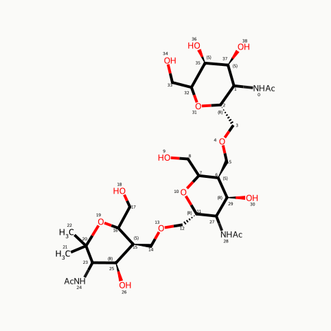 CC(=O)NC1[C@H](COC[C@@H]2C(CO)O[C@@H](COC[C@@H]3C(CO)OC(C)(C)C(NC(C)=O)[C@@H]3O)C(NC(C)=O)[C@@H]2O)OC(CO)[C@@H](O)[C@H]1O